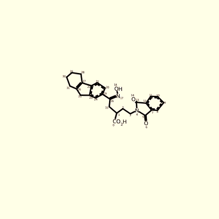 O=C(O)C(CCN1C(=O)c2ccccc2C1=O)C/C(=N/O)c1ccc2c(c1)CC1=C2CCCC1